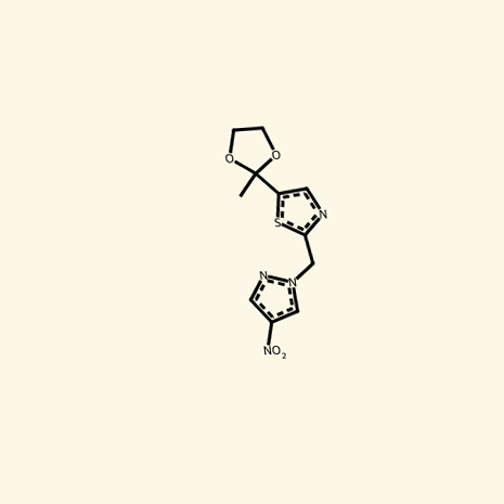 CC1(c2cnc(Cn3cc([N+](=O)[O-])cn3)s2)OCCO1